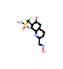 CP(C)(=O)C(F)(F)c1cc2nc(/C=N/O)ccc2cc1Br